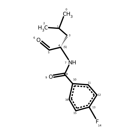 CC(C)C[C@@H]([C]=O)NC(=O)c1ccc(F)cc1